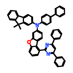 CC1(C)c2ccccc2-c2ccc(N(c3ccc(-c4ccccc4)cc3)c3ccc4c(c3)oc3cccc(-c5nc(-c6ccccc6)cc(-c6ccccc6)n5)c34)cc21